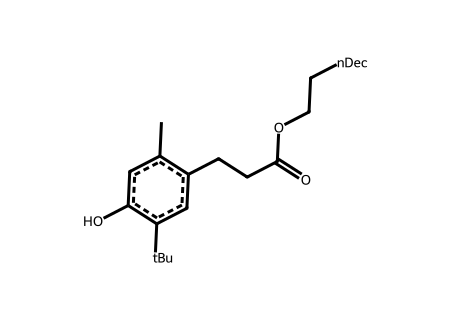 CCCCCCCCCCCCOC(=O)CCc1cc(C(C)(C)C)c(O)cc1C